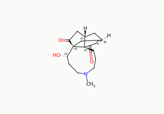 CN1CCC[C@]23C(=O)C[C@@H]4C[C@H]2CC(=O)[C@]3(C4)[C@@H](O)CC1